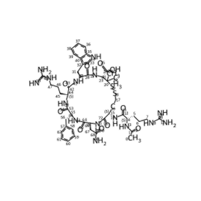 CC(=O)N[C@@H](CCCNC(=N)N)C(=O)N[C@H]1CCSSC(C)(C)[C@@H](C(=O)O)NC(=O)[C@H](Cc2c[nH]c3ccccc23)NC(=O)[C@H](CCCNC(=N)N)NC(=O)[C@@H](Cc2ccccc2)NC(=O)[C@H](CC(N)=O)NC1=O